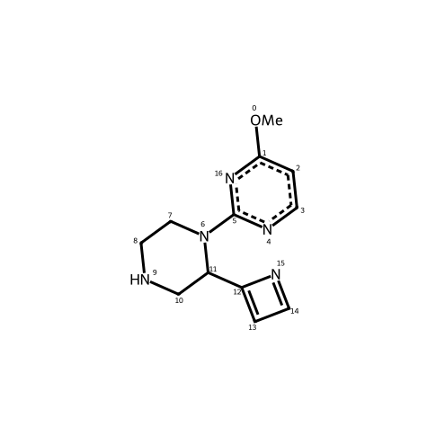 COc1ccnc(N2CCNCC2C2=CC=N2)n1